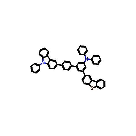 c1ccc(N(c2ccccc2)c2cc(-c3ccc(-c4ccc5c(c4)c4ccccc4n5-c4ccccc4)cc3)cc(-c3ccc4sc5ccccc5c4c3)c2)cc1